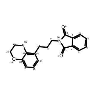 O=C1c2ccccc2C(=O)N1CCCc1cccc2c1SCCO2